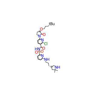 CC(C)(C)CCCO[C@H]1CCN(c2ccc(C(=O)NS(=O)(=O)c3cccc(NCCC[C@@H]4CNC(C)(C)C4)n3)c(Cl)n2)C1=O